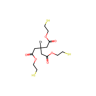 CCC(CC(=O)OCCS)(CC(=O)OCCS)CC(=O)OCCS